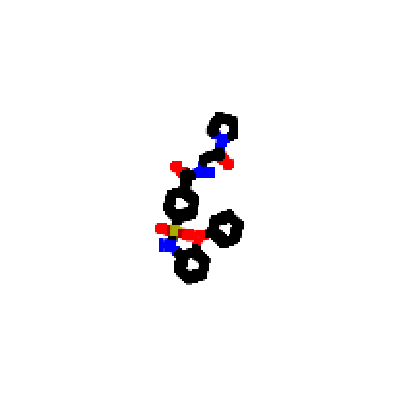 O=C(NCC(=O)N1CCCC1)c1ccc(S(=O)(=O)Nc2ccccc2Oc2ccccc2)cc1